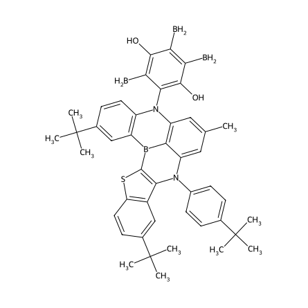 Bc1c(B)c(O)c(N2c3ccc(C(C)(C)C)cc3B3c4sc5ccc(C(C)(C)C)cc5c4N(c4ccc(C(C)(C)C)cc4)c4cc(C)cc2c43)c(B)c1O